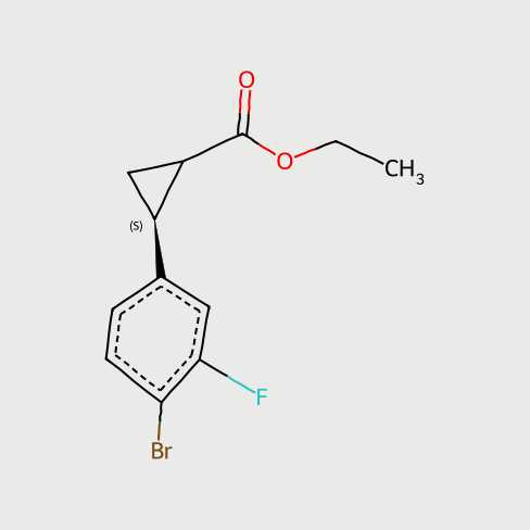 CCOC(=O)C1C[C@@H]1c1ccc(Br)c(F)c1